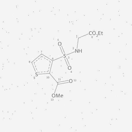 CCOC(=O)CNS(=O)(=O)c1ccsc1C(=O)OC